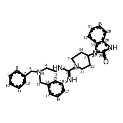 N=C(NCCN(Cc1ccccc1)Cc1ccccc1)N1CCC(n2c(=O)[nH]c3ccccc32)CC1